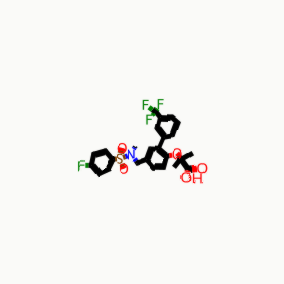 CN(Cc1ccc(OC(C)(C)C(=O)O)c(-c2cccc(C(F)(F)F)c2)c1)S(=O)(=O)c1ccc(F)cc1